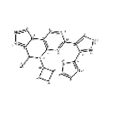 CCC1c2nncn2-c2cnc(-c3c[nH]nc3-c3nccs3)nc2N1C1CCC1